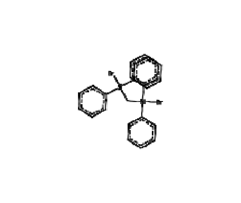 Br[Si](C[Si](Br)(c1ccccc1)c1ccccc1)(c1ccccc1)c1ccccc1